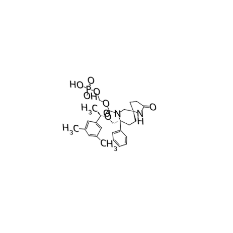 Cc1cc(C)cc([C@@H](C)OC[C@@]2(c3ccccc3)CC[C@]3(CCC(=O)N3)CN2C(=O)OCOP(=O)(O)O)c1